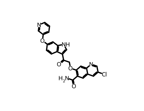 NC(=O)c1cc2cc(Cl)cnc2cc1OCC(=O)c1c[nH]c2cc(Oc3cccnc3)ccc12